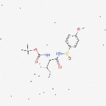 CC[C@H](C)[C@H](NC(=O)OC(C)(C)C)C(=O)N[S+]([O-])c1ccc(OC)cc1